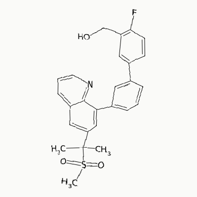 CC(C)(c1cc(-c2cccc(-c3ccc(F)c(CO)c3)c2)c2ncccc2c1)S(C)(=O)=O